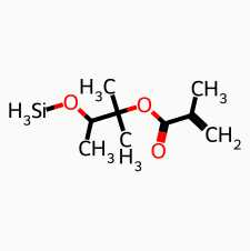 C=C(C)C(=O)OC(C)(C)C(C)O[SiH3]